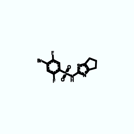 O=S(=O)(Nc1nc2c(s1)CCC2)c1cc(F)c(Br)cc1F